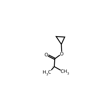 C[C](C)C(=O)OC1CC1